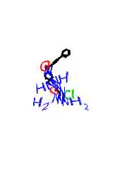 Nc1nc(N)c(C(=O)/N=C2\NCC3(CCN(C(=O)C#Cc4ccccc4)CC3)N2)nc1Cl